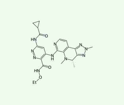 CCONC(=O)c1nnc(NC(=O)C2CC2)cc1Nc1nccc2c1N(C)[C@@H](C)c1nn(C)nc1-2